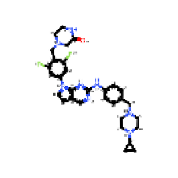 O=C1CN(Cc2c(F)cc(-n3ccc4cnc(Nc5ccc(CN6CCN(C7CC7)CC6)cc5)nc43)cc2F)CCN1